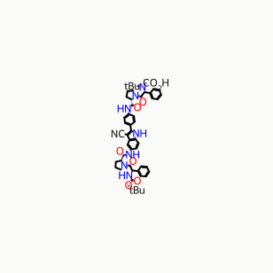 CC(C)(C)OC(=O)N[C@@H](C(=O)N1CCC[C@H]1C(=O)Nc1ccc2[nH]c(-c3ccc(NC(=O)[C@@H]4CCCN4C(=O)[C@@H](c4ccccc4)N(C(=O)O)C(C)(C)C)cc3)c(C#N)c2c1)c1ccccc1